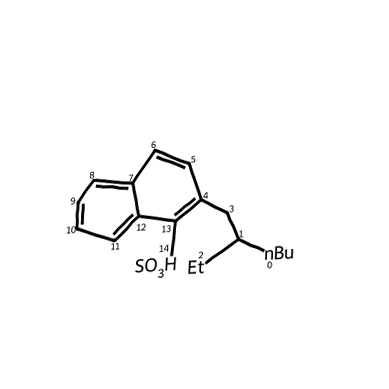 CCCCC(CC)Cc1ccc2ccccc2c1S(=O)(=O)O